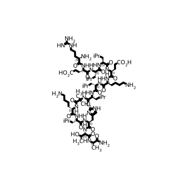 CC(C)C[C@H](NC(=O)[C@H](CC(C)C)NC(=O)[C@H](CCC(=O)O)NC(=O)[C@@H](N)CCCNC(=N)N)C(=O)N[C@@H](CCC(=O)O)C(=O)N[C@@H](CCCCN)C(=O)N[C@@H](CC(C)C)C(=O)N[C@@H](CC(C)C)C(=O)NC(C)(C)C(=O)N[C@@H](CCCCN)C(=O)N[C@@H](CC(C)C)C(=O)N[C@@H](Cc1c[nH]cn1)C(=O)N[C@H](C(=O)N[C@@H](C)C(N)=O)[C@@H](C)O